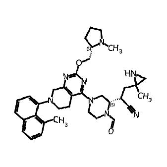 Cc1cccc2cccc(N3CCc4c(nc(OC[C@@H]5CCCN5C)nc4N4CCN(C=O)[C@@H](C(C#N)CC5(C)CN5)C4)C3)c12